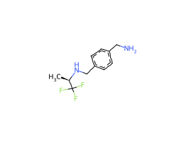 C[C@@H](NCc1ccc(CN)cc1)C(F)(F)F